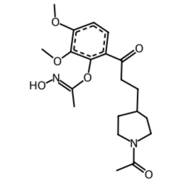 COc1ccc(C(=O)CCC2CCN(C(C)=O)CC2)c(OC(C)=NO)c1OC